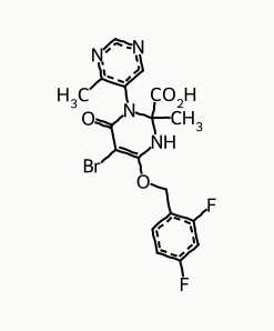 Cc1ncncc1N1C(=O)C(Br)=C(OCc2ccc(F)cc2F)NC1(C)C(=O)O